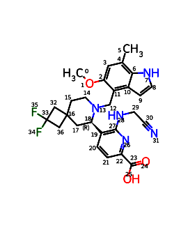 COc1cc(C)c2[nH]ccc2c1CN1CCC2(C[C@@H]1c1ccc(C(=O)O)nc1NCC#N)CC(F)(F)C2